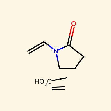 C=C.C=CN1CCCC1=O.CC(=O)O